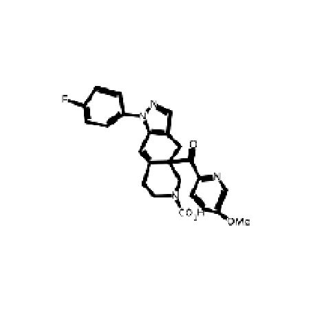 COc1ccc(C(=O)C23Cc4cnn(-c5ccc(F)cc5)c4C=C2CCN(C(=O)O)C3)nc1